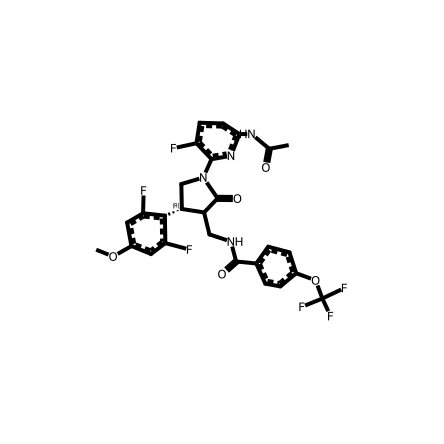 COc1cc(F)c([C@@H]2CN(c3nc(NC(C)=O)ccc3F)C(=O)C2CNC(=O)c2ccc(OC(F)(F)F)cc2)c(F)c1